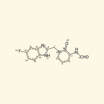 O=CNc1cccn(Cc2nc3cc(F)ccc3[nH]2)c1=O